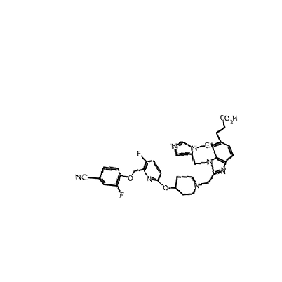 CCn1cncc1Cn1c(CN2CCC(Oc3ccc(F)c(COc4ccc(C#N)cc4F)n3)CC2)nc2ccc(CCC(=O)O)cc21